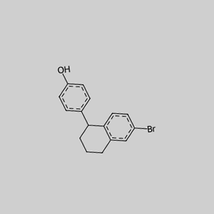 Oc1ccc(C2CCCc3cc(Br)ccc32)cc1